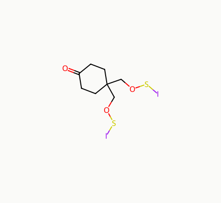 O=C1CCC(COSI)(COSI)CC1